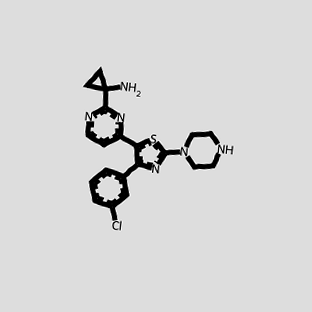 NC1(c2nccc(-c3sc(N4CCNCC4)nc3-c3cccc(Cl)c3)n2)CC1